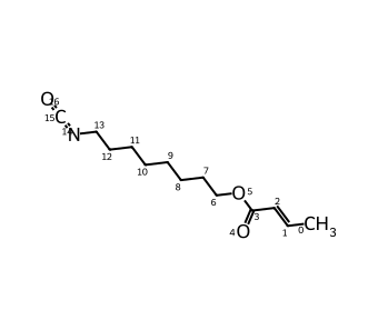 CC=CC(=O)OCCCCCCCCN=C=O